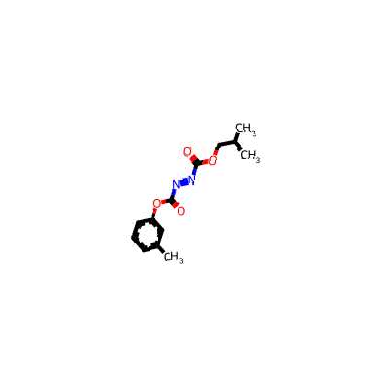 Cc1cccc(OC(=O)N=NC(=O)OCC(C)C)c1